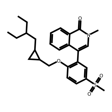 CCC(CC)CC1CC1COc1ccc(S(C)(=O)=O)cc1-c1cn(C)c(=O)c2ccccc12